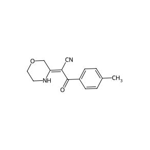 Cc1ccc(C(=O)/C(C#N)=C2/COCCN2)cc1